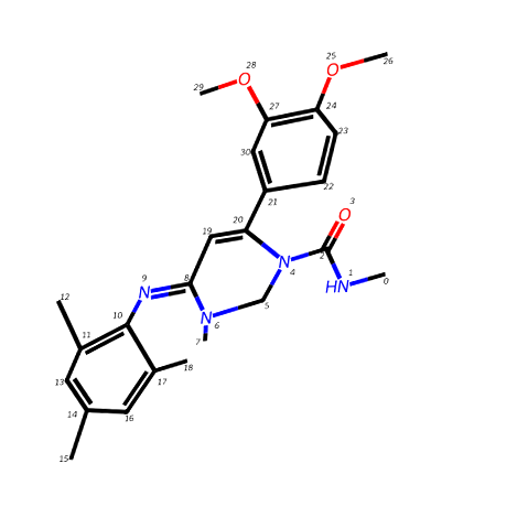 CNC(=O)N1CN(C)/C(=N\c2c(C)cc(C)cc2C)C=C1c1ccc(OC)c(OC)c1